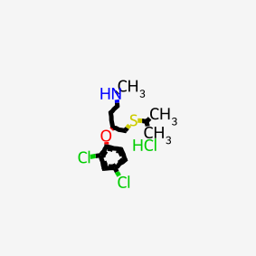 CNCCC(CSC(C)C)Oc1ccc(Cl)cc1Cl.Cl